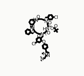 C[C@H]1C(=O)N[C@@H](COC(=O)C(C)(C)C)C(=O)N(C)[C@@H](Cc2ccc(Cl)cc2)CC(=O)N[C@H]2CCCC[C@@H]2N(C)C(=O)[C@H](Cc2ccccc2)CC(=O)N1Cc1ccc(Cl)cc1Oc1ccc(-c2cnc(CN(C)C)n2C)cc1